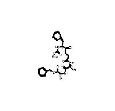 CC(C)[C@H](NC(=O)CCC(=O)[C@H](Cc1ccccc1)NC(=O)OC(C)(C)C)C(=O)N[C@H](C(=O)OCc1ccccc1)C(C)C